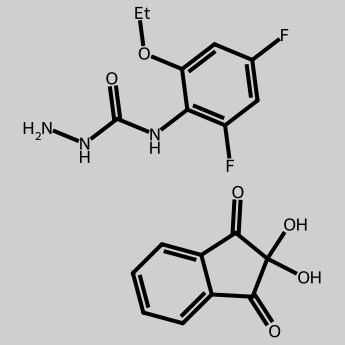 CCOc1cc(F)cc(F)c1NC(=O)NN.O=C1c2ccccc2C(=O)C1(O)O